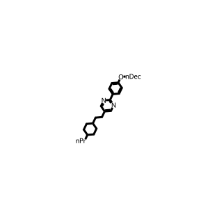 CCCCCCCCCCOc1ccc(-c2ncc(CCC3CCC(CCC)CC3)cn2)cc1